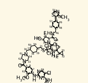 CNc1nc(Nc2ccc(C(=O)N3CCN(CC4CCC(CSC(C)(C)C(NC(=O)C5(F)CC5)C(=O)N5C[C@H](O)[C@H](F)[C@@H]5C(=O)NCc5ccc(-c6scnc6C)cc5)CC4)CC3)cc2OC)ncc1Cl